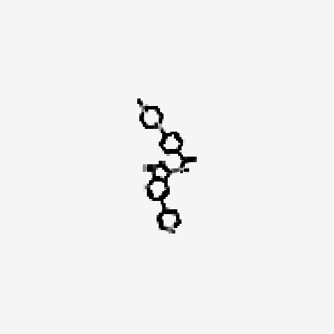 C=C(Nc1n[nH]c2ncc(-c3ccncc3)cc12)c1ccc(N2CCN(C)CC2)cc1